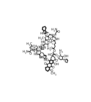 COc1cccc2c1C(=O)c1c(O)c3c(c(O)c1C2=O)C[C@@](O)(C(=O)COC(=O)CCCC(=O)N[C@@H](CCC(N)=O)C(=O)N[C@@H](Cc1c[nH]c2ccccc12)C(=O)N[C@@H](C)C(=O)N[C@H](C(=O)NCC(=O)N[C@@H](Cc1cnc[nH]1)C(=O)N[C@H](CN[C@@H](CC(C)C)C(N)=O)CC(C)C)C(C)C)C[C@@H]3O[C@H]1C[C@H](N2C=CCC2)[C@H](O)[C@H](C)O1